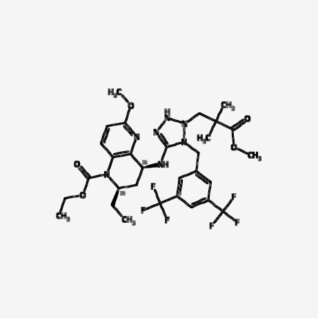 CCOC(=O)N1c2ccc(OC)nc2[C@@H](NC2=NNN(CC(C)(C)C(=O)OC)N2Cc2cc(C(F)(F)F)cc(C(F)(F)F)c2)C[C@H]1CC